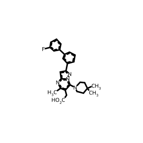 Cc1nc2cc(-c3cccc(-c4cccc(F)c4)c3)nn2c(N2CCC(C)(C)CC2)c1CC(=O)O